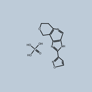 O=P(O)(O)O.c1cc(-c2nc3c4c(ncc3[nH]2)CCOC4)no1